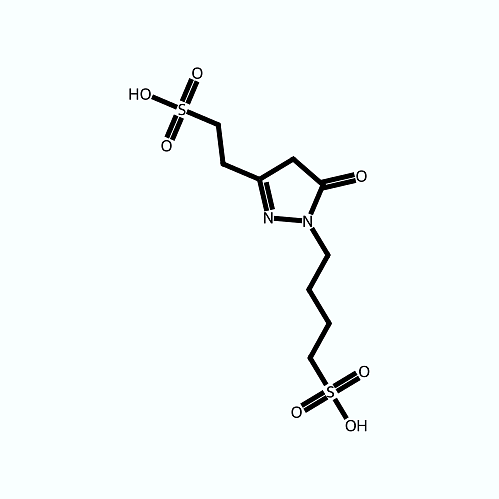 O=C1CC(CCS(=O)(=O)O)=NN1CCCCS(=O)(=O)O